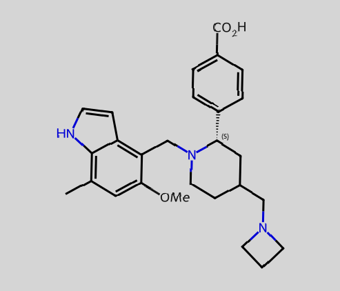 COc1cc(C)c2[nH]ccc2c1CN1CCC(CN2CCC2)C[C@H]1c1ccc(C(=O)O)cc1